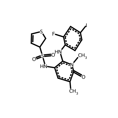 Cc1cc(NS(=O)(=O)C2C=CSC2)c(Nc2ccc(I)cc2F)n(C)c1=O